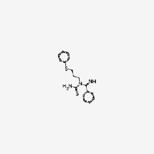 N=C(c1ccccc1)N(CCCSc1ccccc1)C(N)=S